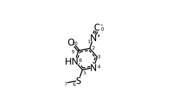 [C-]#[N+]c1cnc(SC)[nH]c1=O